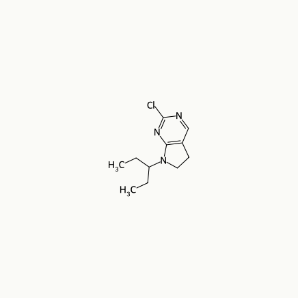 CCC(CC)N1CCc2cnc(Cl)nc21